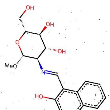 CO[C@@H]1O[C@H](CO)[C@@H](O)[C@H](O)[C@H]1N=Cc1c(O)ccc2ccccc12